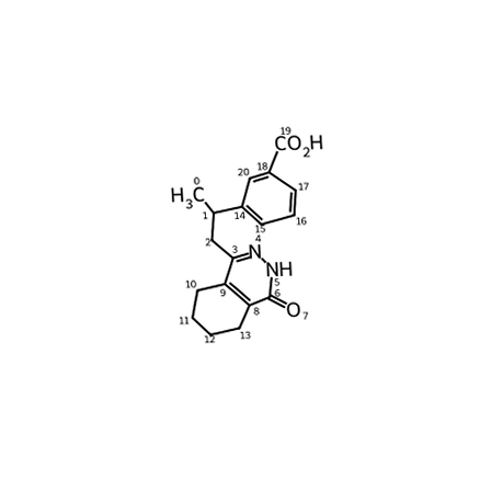 CC(Cc1n[nH]c(=O)c2c1CCCC2)c1cccc(C(=O)O)c1